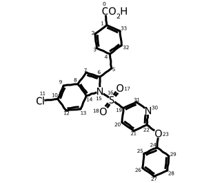 O=C(O)c1ccc(Cc2cc3cc(Cl)ccc3n2S(=O)(=O)c2ccc(Oc3ccccc3)nc2)cc1